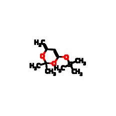 C=C1C=C(O[Si](C)(C)C)OC(C)(C)O1